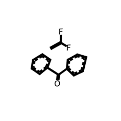 C=C(F)F.O=C(c1ccccc1)c1ccccc1